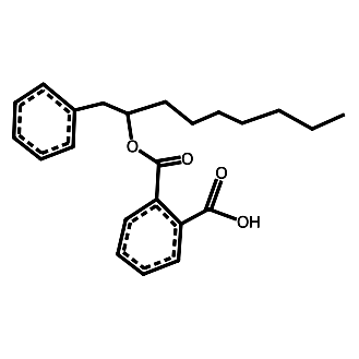 CCCCCCCC(Cc1ccccc1)OC(=O)c1ccccc1C(=O)O